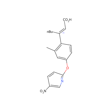 CCCC/C(=C\C(=O)O)c1ccc(Oc2ccc([N+](=O)[O-])cn2)cc1C